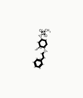 CS(=O)(=O)O[C@@H]1CC[C@H](OCCc2ccccc2)[C@@H](F)C1